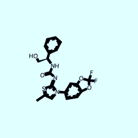 Cc1cn(-c2ccc3c(c2)OC(F)(F)O3)/c(=N/C(=O)N[C@@H](CO)c2ccccc2)s1